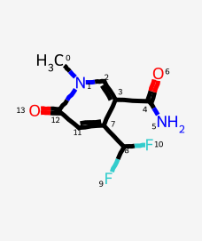 Cn1cc(C(N)=O)c(C(F)F)cc1=O